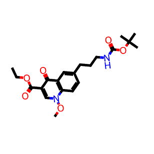 CCOC(=O)c1cn(OC)c2ccc(CCCNC(=O)OC(C)(C)C)cc2c1=O